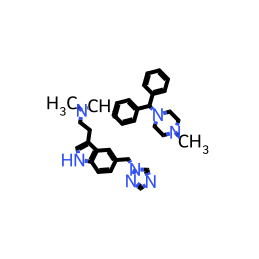 CN(C)CCc1c[nH]c2ccc(Cn3cncn3)cc12.CN1CCN(C(c2ccccc2)c2ccccc2)CC1